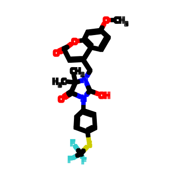 COc1ccc2c(CN3C(O)N(c4ccc(SC(F)(F)F)cc4)C(=O)C3(C)C)cc(=O)oc2c1